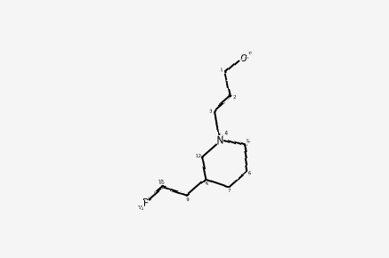 [O]CCCN1CCCC(CCF)C1